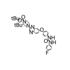 CC(C)(C)OC(=O)N1CCN(c2cnc3ccc(Oc4ccc(NC(=O)Nc5ccc(F)cc5)cc4)cc3n2)CC1C(C)(C)C